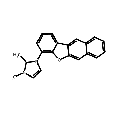 CC1N(C)C=CN1c1cccc2c1oc1cc3ccccc3cc12